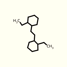 CCC1CCCCC1CCC1CCCCC1CC